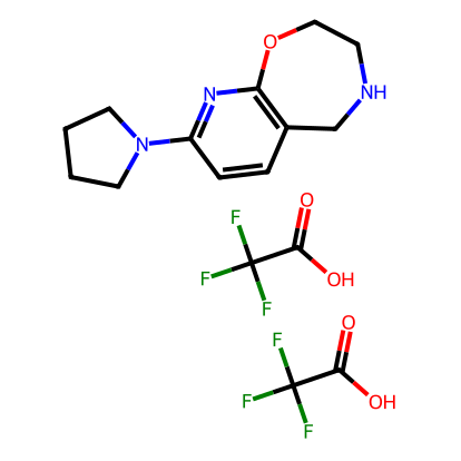 O=C(O)C(F)(F)F.O=C(O)C(F)(F)F.c1cc2c(nc1N1CCCC1)OCCNC2